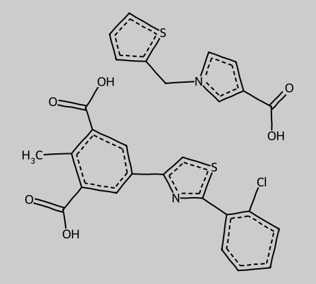 Cc1c(C(=O)O)cc(-c2csc(-c3ccccc3Cl)n2)cc1C(=O)O.O=C(O)c1ccn(Cc2cccs2)c1